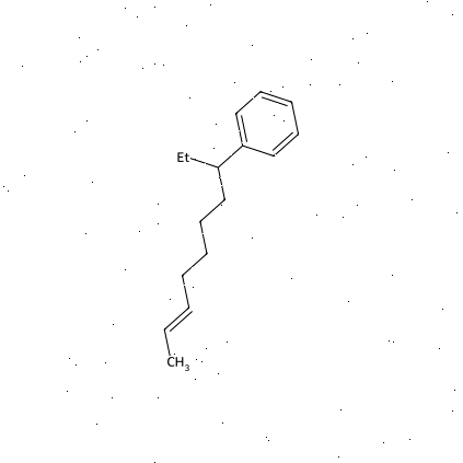 CC=CCCCCC(CC)c1ccccc1